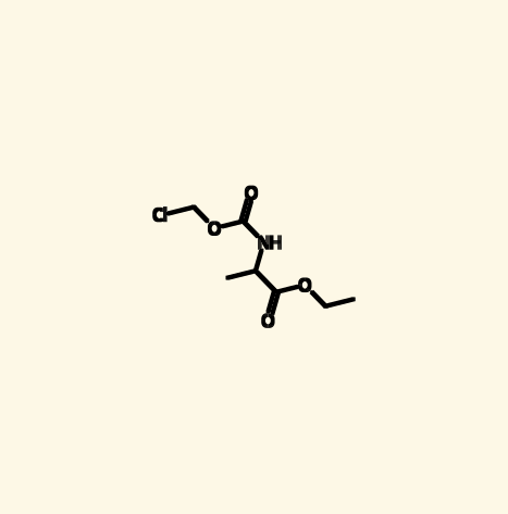 CCOC(=O)C(C)NC(=O)OCCl